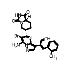 C=C/C(=C\c1ccccc1C)c1cnn2c(N)c(Br)c([C@H]3CC[C@H]4C(=O)NC(=O)N4C3)nc12